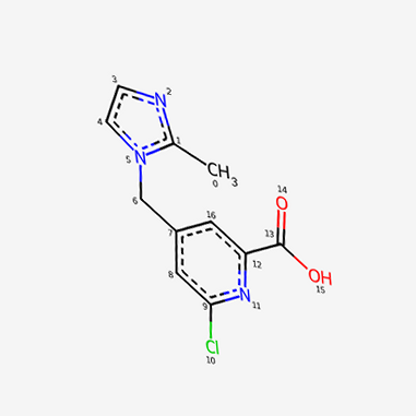 Cc1nccn1Cc1cc(Cl)nc(C(=O)O)c1